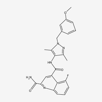 COc1cccc(Cn2nc(C)c(NC(=O)c3cc(C(N)=O)nc4cccc(F)c34)c2C)c1